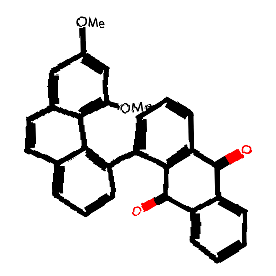 COc1cc(OC)c2c(ccc3cccc(-c4cccc5c4C(=O)c4ccccc4C5=O)c32)c1